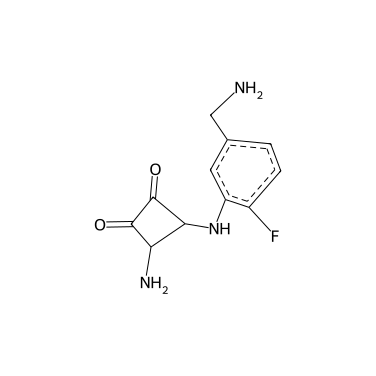 NCc1ccc(F)c(NC2C(=O)C(=O)C2N)c1